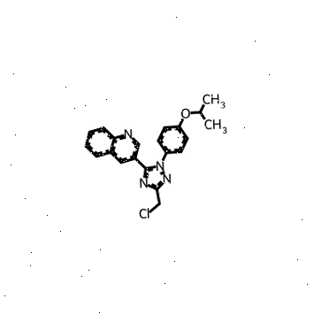 CC(C)Oc1ccc(-n2nc(CCl)nc2-c2cnc3ccccc3c2)cc1